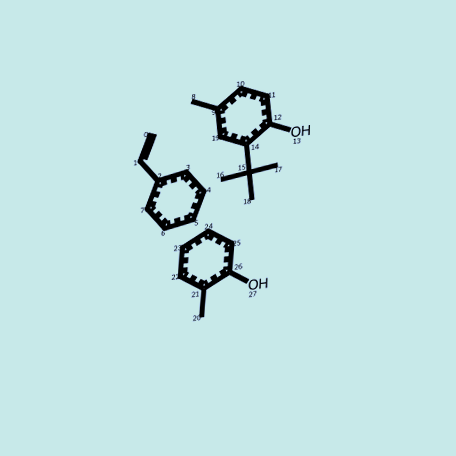 C=Cc1ccccc1.Cc1ccc(O)c(C(C)(C)C)c1.Cc1ccccc1O